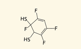 FC1=CC(F)=C(F)C(S)C1(F)S